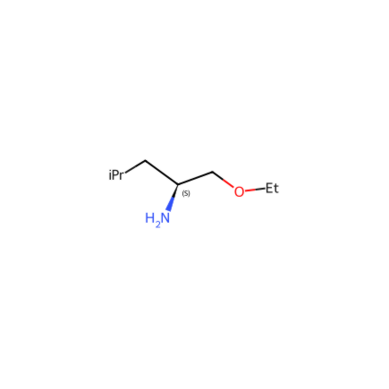 CCOC[C@@H](N)CC(C)C